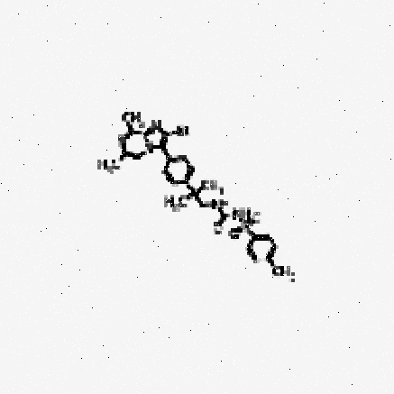 CCc1nc2c(C)nc(C)cn2c1-c1ccc(C(C)(C)CNC(=O)NS(=O)(=O)c2ccc(C)cc2)cc1